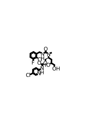 CN(C(=O)NCc1cccc(F)c1Cl)[C@H](COC(=O)Nc1ccc(Cl)cn1)CC(O)CO